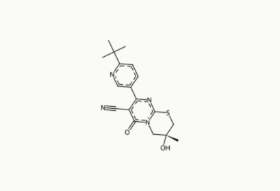 CC(C)(C)c1ccc(-c2nc3n(c(=O)c2C#N)C[C@@](C)(O)CS3)cn1